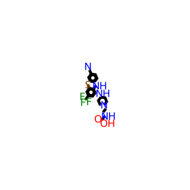 N#Cc1ccc2c(c1)Sc1cc(C(F)(F)F)cc(NC3CCN(CCNC(=O)O)CC3)c1N2